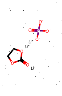 O=C1OCCO1.O=P([O-])([O-])[O-].[Li+].[Li+].[Li+]